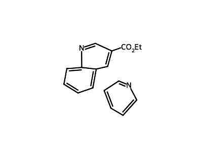 CCOC(=O)c1cnc2ccccc2c1.c1ccncc1